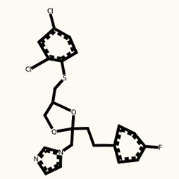 Fc1ccc(CCC2(Cn3ccnc3)OCC(CSc3ccc(Cl)cc3Cl)O2)cc1